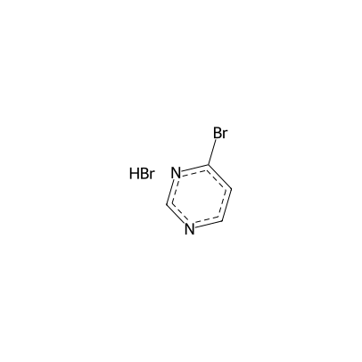 Br.Brc1ccncn1